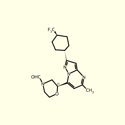 Cc1cc([C@@H]2CN(C=O)CCO2)n2nc([C@H]3CC[C@H](C(F)(F)F)CC3)cc2n1